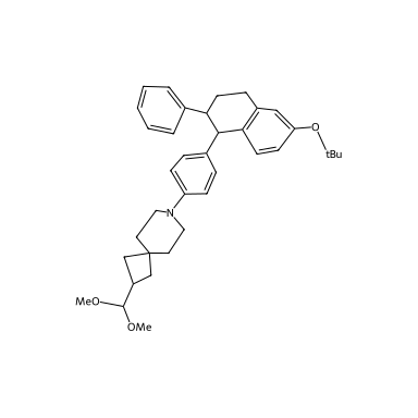 COC(OC)C1CC2(CCN(c3ccc(C4c5ccc(OC(C)(C)C)cc5CCC4c4ccccc4)cc3)CC2)C1